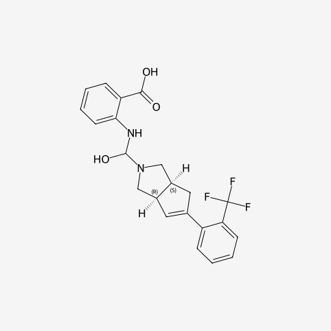 O=C(O)c1ccccc1NC(O)N1C[C@H]2CC(c3ccccc3C(F)(F)F)=C[C@H]2C1